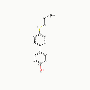 CCCCCCCCCCCSc1ccc(-c2ccc(O)cc2)cc1